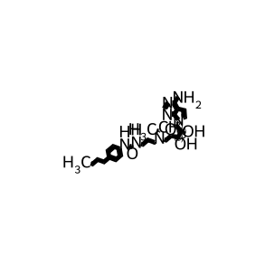 CCCCc1ccc(NC(=O)NCCCN(CC2O[C@@H](n3ccc4c(N)ncnc43)[C@H](O)[C@@H]2O)C(C)C)cc1